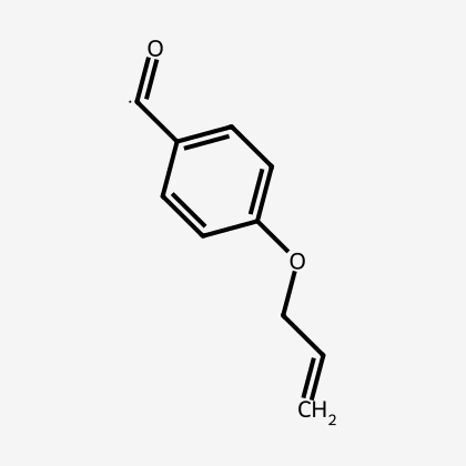 C=CCOc1ccc([C]=O)cc1